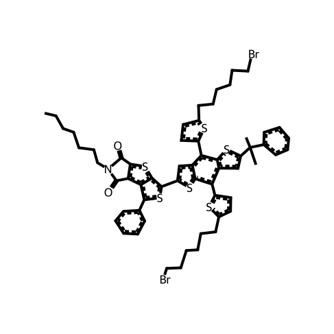 CCCCCCCN1C(=O)c2sc3c(-c4cc5c(-c6ccc(CCCCCCBr)s6)c6sc(C(C)(C)c7ccccc7)cc6c(-c6ccc(CCCCCCBr)s6)c5s4)sc(-c4ccccc4)c3c2C1=O